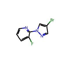 Fc1cccnc1-n1cc(Br)cn1